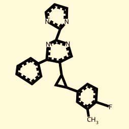 Cc1cc(C2CC2c2cnc(-c3ncccn3)nc2-c2ccccc2)ccc1F